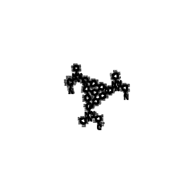 [C-]#[N+]c1cccc(-c2nc(-c3ccccc3)nc(-c3ccc(-c4ccc(-c5ccccc5-c5cc(-c6ccccc6-c6ccc(-c7ccc(-c8nc(-c9ccccc9)nc(-c9cccc(C#N)c9)n8)cn7)cc6)cc(-c6ccccc6-c6ccc(-c7ccc(-c8nc(-c9ccccc9)nc(-c9cccc(C#N)c9)n8)cn7)cc6)c5)cc4)nc3)n2)c1